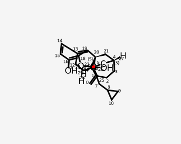 C=C1CC[C@@H]2CN(CC3CC3)[C@@H]3Cc4ccc(O)c5c4[C@@](C2)([C@H]1O5)[C@]3(C)O